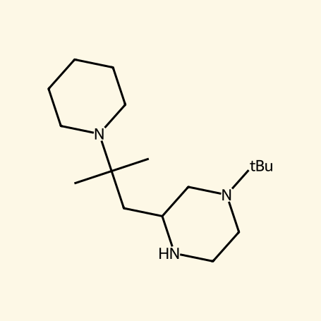 CC(C)(C)N1CCNC(CC(C)(C)N2CCCCC2)C1